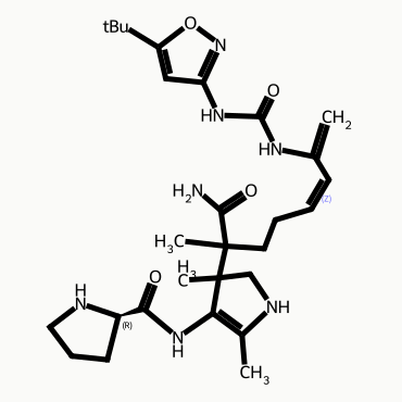 C=C(/C=C\CCC(C)(C(N)=O)C1(C)CNC(C)=C1NC(=O)[C@H]1CCCN1)NC(=O)Nc1cc(C(C)(C)C)on1